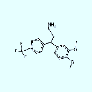 COc1ccc(C(CCN)c2ccc(C(F)(F)F)cc2)cc1OC